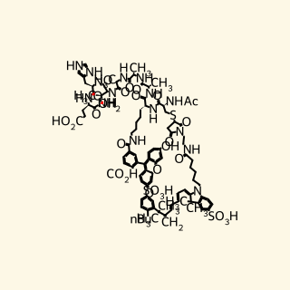 C=C(/C=C/C=C/C=C1/N(CCCCCC(=O)NCCN2C(=O)CC(SC[C@@H](NC(C)=O)C(=O)N[C@H](CCCCCNC(=O)c3ccc(C(=O)O)c(-c4c5ccc(=O)cc-5oc5cc(O)ccc45)c3)C(=O)N[C@H](C)C(=O)N[C@H](C)C(=O)N[C@H](C)C(=O)N[C@@H](C(=O)N[C@H](Cc3c[nH]cn3)C(=O)N[C@H](CCC(=O)O)C(N)=O)[C@H](C)O)C2=O)c2ccc(S(=O)(=O)O)cc2C1(C)C)C(C)(C)c1cc(S(=O)(=O)O)ccc1CCCC